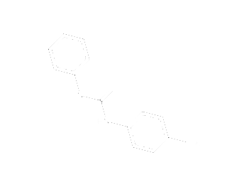 CC(C)(C)c1ccc(NC(=O)Nc2ccccc2)cc1